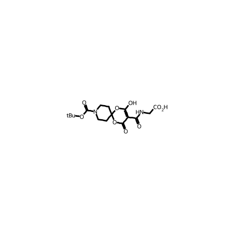 CC(C)(C)OC(=O)N1CCC2(CC1)OC(=O)C(C(=O)NCC(=O)O)=C(O)O2